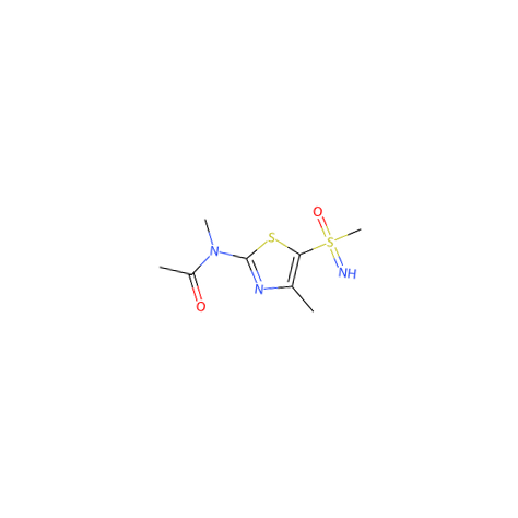 CC(=O)N(C)c1nc(C)c(S(C)(=N)=O)s1